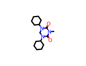 CN1C(=O)N(C2CCCCC2)CN(C2CCCCC2)C1=O